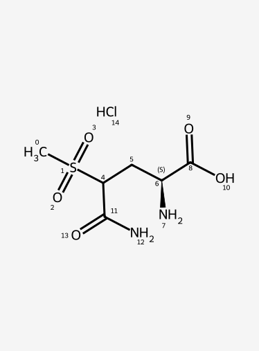 CS(=O)(=O)C(C[C@H](N)C(=O)O)C(N)=O.Cl